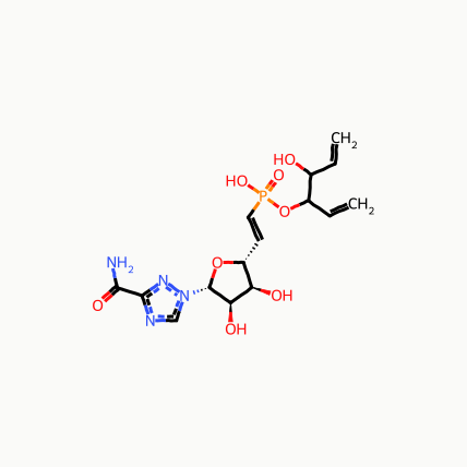 C=CC(O)C(C=C)OP(=O)(O)/C=C/[C@H]1O[C@@H](n2cnc(C(N)=O)n2)[C@H](O)[C@@H]1O